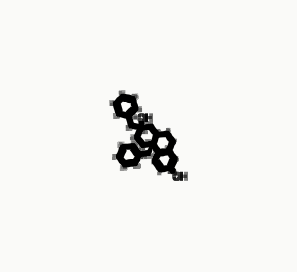 Oc1ccc2c(c1)CCC1CC(O)(Cc3ccccc3)CC[C@@]21Cc1ccccc1